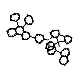 CC1(c2ccccc2)c2ccccc2-c2cccc(N(c3ccc(-c4ccc5c(c4)c(-c4ccccc4)c(-c4ccccc4)c4ccccc45)cc3)c3cccc(-c4cccc5ccccc45)c3)c21